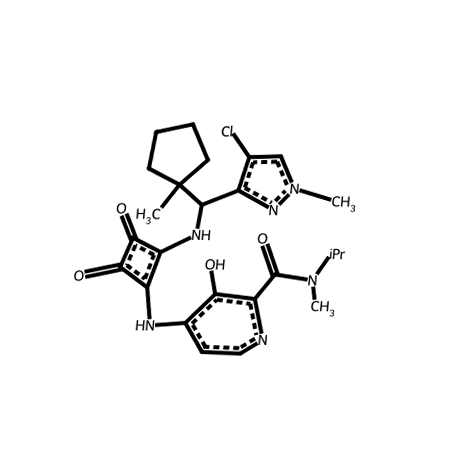 CC(C)N(C)C(=O)c1nccc(Nc2c(NC(c3nn(C)cc3Cl)C3(C)CCCC3)c(=O)c2=O)c1O